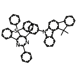 CC1(C)c2ccccc2-c2ccc3c(c21)c1ccccc1n3-c1cccc(-c2nc(-c3ccccc3)nc3c2[Si](c2ccccc2)(c2ccccc2)c2ccccc2-3)c1